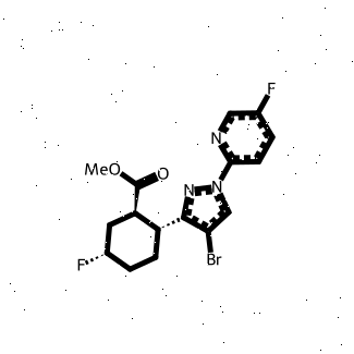 COC(=O)[C@@H]1C[C@@H](F)CC[C@H]1c1nn(-c2ccc(F)cn2)cc1Br